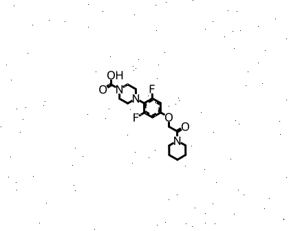 O=C(O)N1CCN(c2c(F)cc(OCC(=O)N3CCCCC3)cc2F)CC1